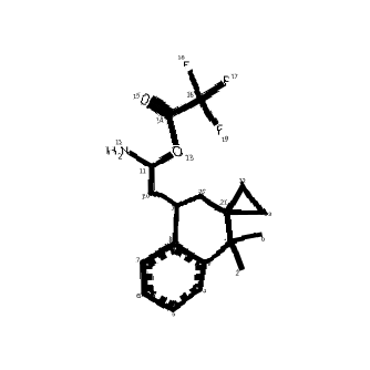 CC1(C)c2ccccc2C(CC(N)OC(=O)C(F)(F)F)CC12CC2